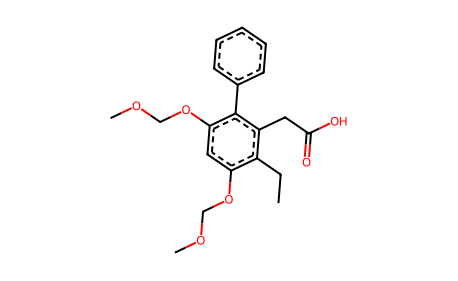 CCc1c(OCOC)cc(OCOC)c(-c2ccccc2)c1CC(=O)O